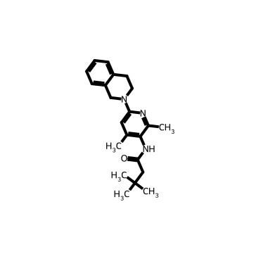 Cc1cc(N2CCc3ccccc3C2)nc(C)c1NC(=O)CC(C)(C)C